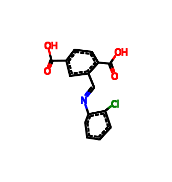 O=C(O)c1ccc(C(=O)O)c(/C=N/c2ccccc2Cl)c1